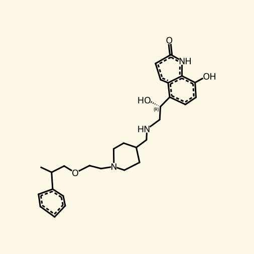 CC(COCCN1CCC(CNC[C@H](O)c2ccc(O)c3[nH]c(=O)ccc23)CC1)c1ccccc1